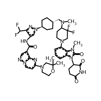 CN(C[C@H]1CC[C@H](n2cc(NC(=O)c3cnn4ccc(N5CCOC(C)(C)C5)nc34)c(C(F)F)n2)CC1)C1CCN(c2cccc3c2n(C)c(=O)n3C2CCC(=O)NC2=O)CC1(F)F